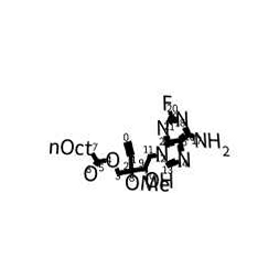 C#CC(COC(=O)CCCCCCCC)(OC)[C@@H](O)Cn1cnc2c(N)nc(F)nc21